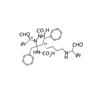 CC(C)C(C=O)NCCCC[C@@H](Cc1ccccc1)C(Cc1ccccc1)(NC(=O)O)N(NC(=O)O)[C@H](C=O)C(C)C